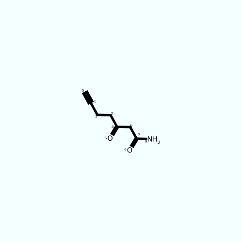 C#CCCC(=O)CC(N)=O